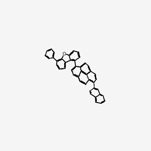 c1ccc(-c2cccc3c2oc2cccc(-c4ccc5ccc6c(-c7ccc8ccccc8c7)ccc7ccc4c5c76)c23)cc1